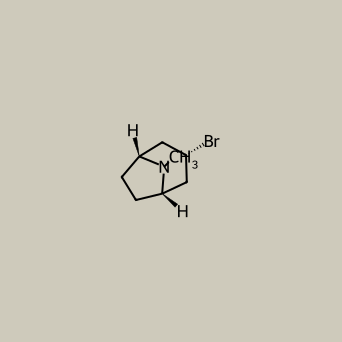 CN1[C@@H]2CC[C@H]1C[C@@H](Br)C2